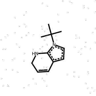 CC(C)(C)n1ccc2c1NCC=C2